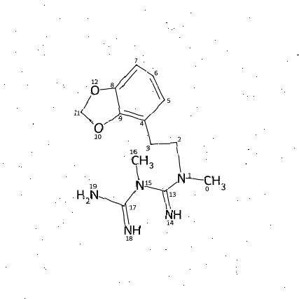 CN(CCc1cccc2c1OCO2)C(=N)N(C)C(=N)N